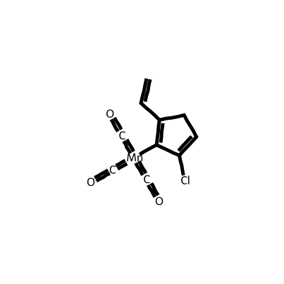 C=CC1=[C]([Mn](=[C]=O)(=[C]=O)=[C]=O)C(Cl)=CC1